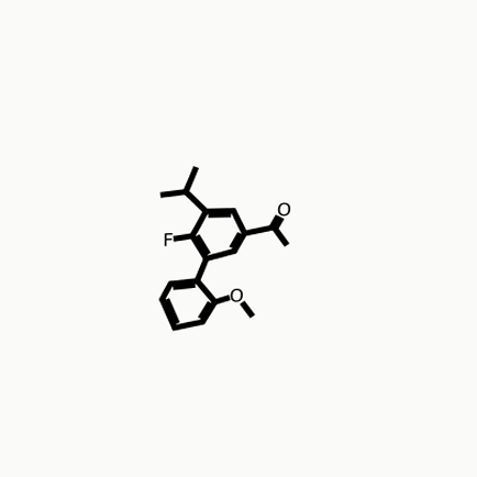 COc1ccccc1-c1cc(C(C)=O)cc(C(C)C)c1F